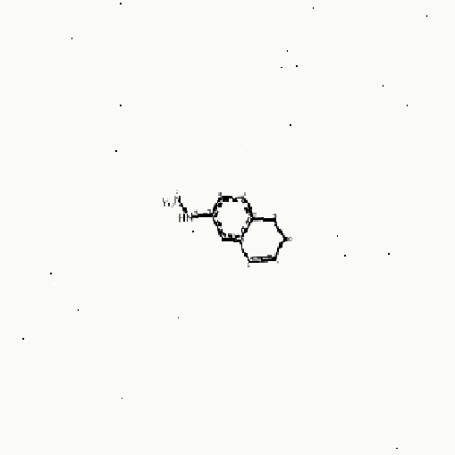 NNc1ccc2c(c1)C=CCC2